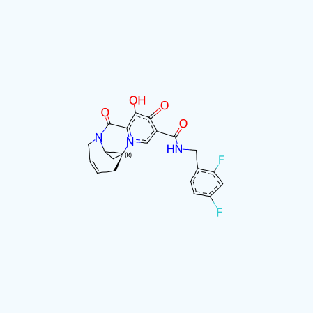 O=C(NCc1ccc(F)cc1F)c1cn2c(c(O)c1=O)C(=O)N1CC=CC[C@]23CC13